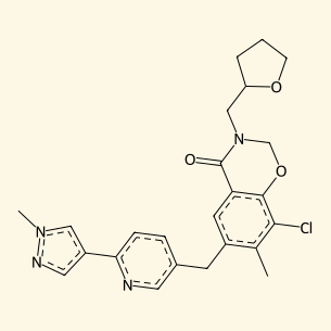 Cc1c(Cc2ccc(-c3cnn(C)c3)nc2)cc2c(c1Cl)OCN(CC1CCCO1)C2=O